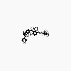 O=C(c1ccc2ncc(-c3ccncc3)nc2c1)c1c(F)ccc(CCCN[SH](=O)=O)c1Cl